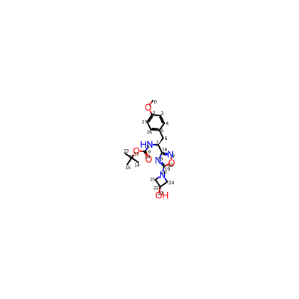 COc1ccc(C[C@H](NC(=O)OC(C)(C)C)c2noc(N3CC(O)C3)n2)cc1